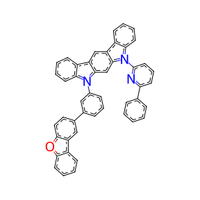 c1ccc(-c2cccc(-n3c4ccccc4c4cc5c6ccccc6n(-c6cccc(-c7ccc8oc9ccccc9c8c7)c6)c5cc43)n2)cc1